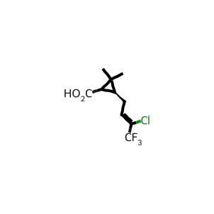 CC1(C)C(C(=O)O)[C@@H]1C/C=C(\Cl)C(F)(F)F